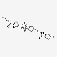 CCCOC(=O)c1ccc(C(=O)NS(=O)(=O)c2ccc(CCNC(=O)c3ccc(F)cc3)cc2)cn1